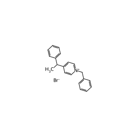 CC(c1ccccc1)c1cc[n+](Cc2ccccc2)cc1.[Br-]